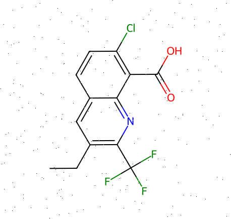 CCc1cc2ccc(Cl)c(C(=O)O)c2nc1C(F)(F)F